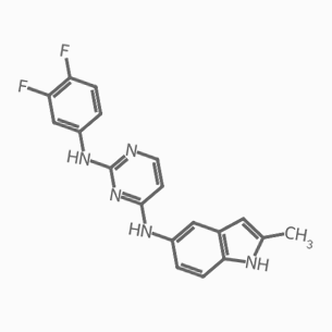 Cc1cc2cc(Nc3ccnc(Nc4ccc(F)c(F)c4)n3)ccc2[nH]1